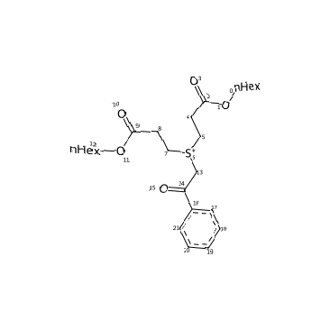 CCCCCCOC(=O)CC[S+](CCC(=O)OCCCCCC)CC(=O)c1ccccc1